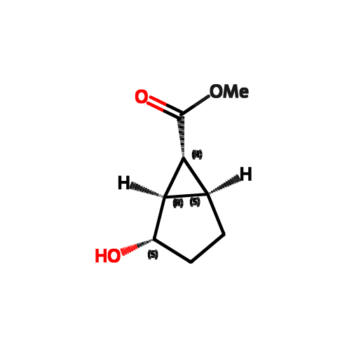 COC(=O)[C@@H]1[C@H]2CC[C@H](O)[C@H]21